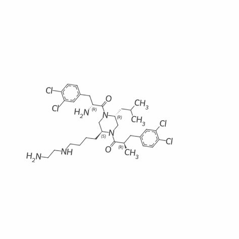 CC(C)C[C@@H]1CN(C(=O)[C@H](C)Cc2ccc(Cl)c(Cl)c2)[C@@H](CCCCNCCN)CN1C(=O)[C@H](N)Cc1ccc(Cl)c(Cl)c1